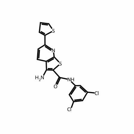 Nc1c(C(=O)Nc2cc(Cl)cc(Cl)c2)sc2nc(-c3cccs3)ccc12